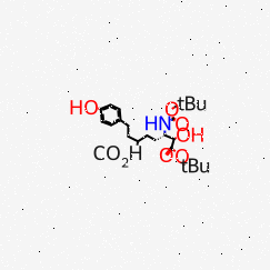 CC(C)(C)OC(=O)N[C@@H](CCC(CCc1ccc(O)cc1)C(=O)O)C(O)C(=O)OC(C)(C)C